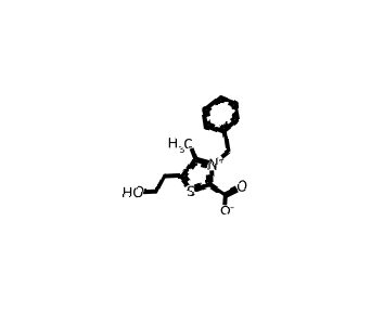 Cc1c(CCO)sc(C(=O)[O-])[n+]1Cc1ccccc1